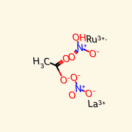 CC(=O)[O-].O=[N+]([O-])O.O=[N+]([O-])[O-].[La+3].[Ru+3]